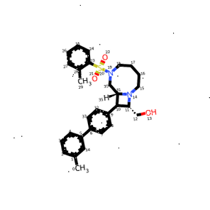 Cc1cccc(-c2ccc(C3[C@@H](CO)N4CCCCN(S(=O)(=O)c5ccccc5C)C[C@@H]34)cc2)c1